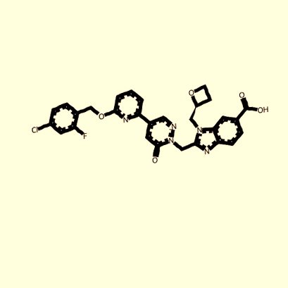 O=C(O)c1ccc2nc(Cn3ncc(-c4cccc(OCc5ccc(Cl)cc5F)n4)cc3=O)n(C[C@@H]3CCO3)c2c1